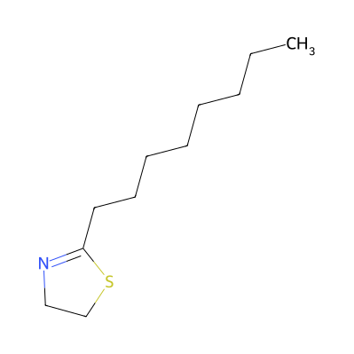 CCCCCCCCC1=NCCS1